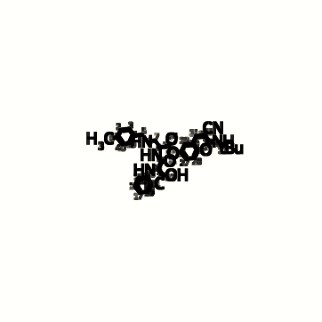 Cc1ccc(CNC[C@H](NC(=O)[C@@H](Nc2ccccc2)[C@@H](C)O)C(=O)Oc2cccc(C=C(C#N)C(=O)NC(C)(C)C)c2)cc1